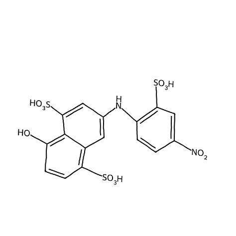 O=[N+]([O-])c1ccc(Nc2cc(S(=O)(=O)O)c3c(O)ccc(S(=O)(=O)O)c3c2)c(S(=O)(=O)O)c1